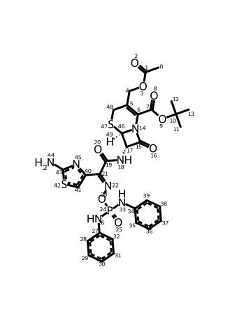 CC(=O)OCC1=C(C(=O)OC(C)(C)C)N2C(=O)[C@H](NC(=O)C(=NOP(=O)(Nc3ccccc3)Nc3ccccc3)c3csc(N)n3)[C@H]2SC1